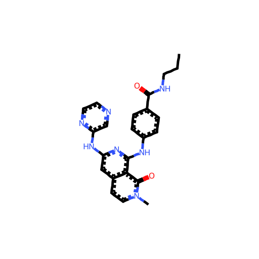 CCCNC(=O)c1ccc(Nc2nc(Nc3cnccn3)cc3ccn(C)c(=O)c23)cc1